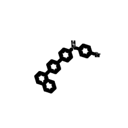 Brc1ccc(Nc2ccc(-c3ccc(-c4cccc5ccccc45)cc3)cc2)cc1